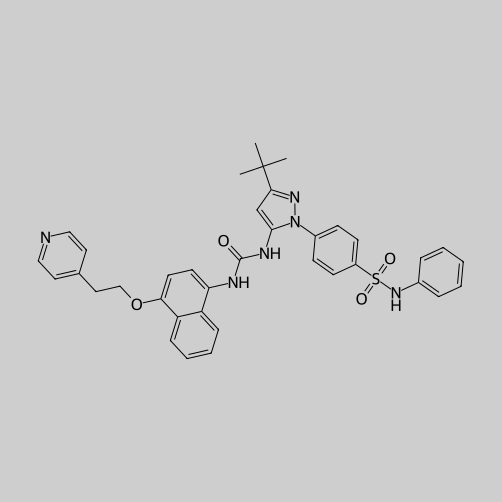 CC(C)(C)c1cc(NC(=O)Nc2ccc(OCCc3ccncc3)c3ccccc23)n(-c2ccc(S(=O)(=O)Nc3ccccc3)cc2)n1